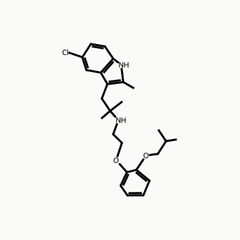 Cc1[nH]c2ccc(Cl)cc2c1CC(C)(C)NCCOc1ccccc1OCC(C)C